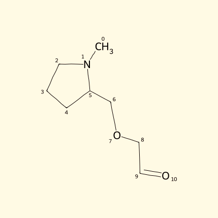 CN1CCCC1COCC=O